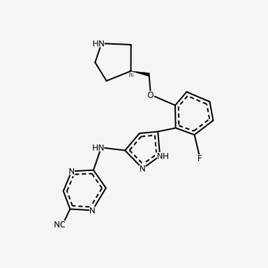 N#Cc1cnc(Nc2cc(-c3c(F)cccc3OC[C@H]3CCNC3)[nH]n2)cn1